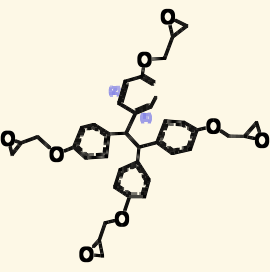 C=C(/C=C\C(=C/C)C(c1ccc(OCC2CO2)cc1)C(c1ccc(OCC2CO2)cc1)c1ccc(OCC2CO2)cc1)OCC1CO1